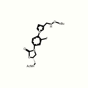 CCCCONCc1ccn(-c2ccc(N3C[C@H](CNC(C)=O)OC3=O)cc2F)c1